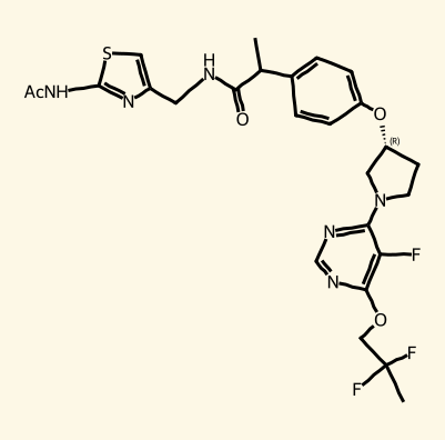 CC(=O)Nc1nc(CNC(=O)C(C)c2ccc(O[C@@H]3CCN(c4ncnc(OCC(C)(F)F)c4F)C3)cc2)cs1